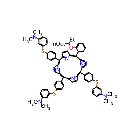 CCCCCCCCC(CC)Oc1ccccc1-c1c2nc(c(-c3ccc(Sc4cccc(N(C)C)c4)cc3)c3ccc([nH]3)c(-c3ccc(Sc4cccc(N(C)C)c4)cc3)c3nc(c(-c4ccc(Sc5cccc(N(C)C)c5)cc4)c4ccc1[nH]4)C=C3)C=C2